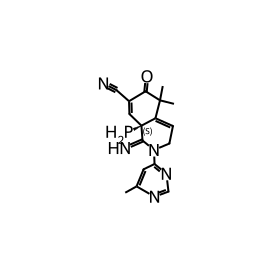 Cc1cc(N2CC=C3C(C)(C)C(=O)C(C#N)=C[C@@]3(P)C2=N)ncn1